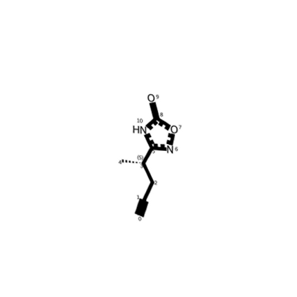 C#CC[C@H](C)c1noc(=O)[nH]1